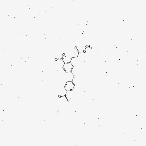 COC(=O)CCc1cc(Oc2ccc([N+](=O)[O-])cc2)ccc1[N+](=O)[O-]